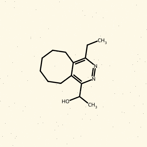 CCc1nnc(C(C)O)c2c1CCCCCC2